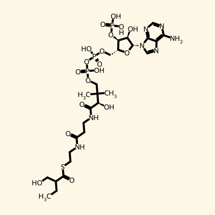 CCC(CO)C(=O)SCCNC(=O)CCNC(=O)[C@H](O)C(C)(C)COP(=O)(O)OP(=O)(O)OC[C@H]1O[C@@H](n2cnc3c(N)ncnc32)[C@H](O)[C@@H]1OP(=O)(O)O